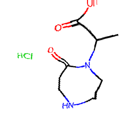 CC(C(=O)O)N1CCNCC1=O.Cl